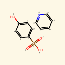 O=S(=O)(O)c1ccc(O)cc1.c1ccncc1